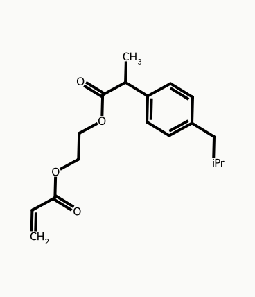 C=CC(=O)OCCOC(=O)C(C)c1ccc(CC(C)C)cc1